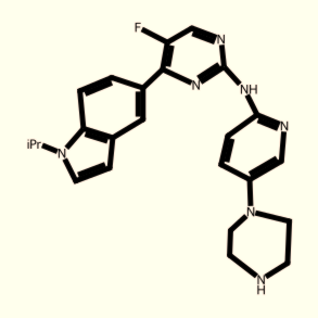 CC(C)n1ccc2cc(-c3nc(Nc4ccc(N5CCNCC5)cn4)ncc3F)ccc21